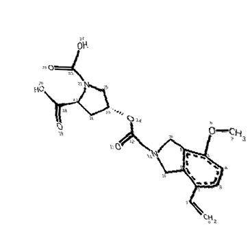 C=Cc1ccc(OC)c2c1CN(C(=O)O[C@@H]1C[C@@H](C(=O)O)N(C(=O)O)C1)C2